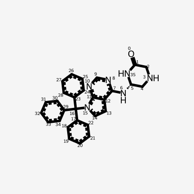 O=C1CNC[C@H](Nc2ncnc3c2ccn3C(c2ccccc2)(c2ccccc2)c2ccccc2)N1